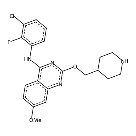 COc1ccc2c(Nc3cccc(Cl)c3F)nc(OCC3CCNCC3)nc2c1